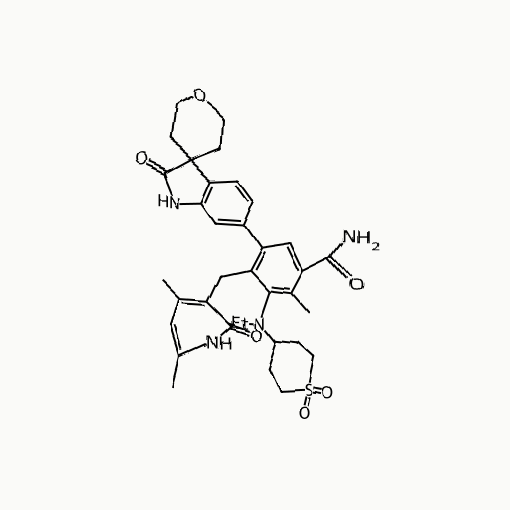 CCN(c1c(C)c(C(N)=O)cc(-c2ccc3c(c2)NC(=O)C32CCOCC2)c1Cc1c(C)cc(C)[nH]c1=O)C1CCS(=O)(=O)CC1